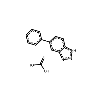 O=C(O)O.c1ccc(-c2ccc3[nH]nnc3c2)cc1